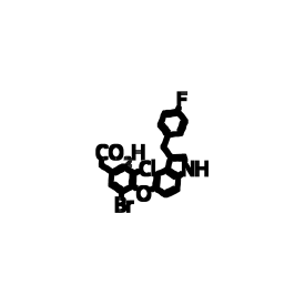 O=C(O)Cc1cc(Cl)c(Oc2ccc3[nH]cc(Cc4ccc(F)cc4)c3c2)c(Br)c1